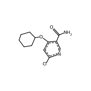 NC(=O)c1cnc(Cl)cc1OC1CCCCC1